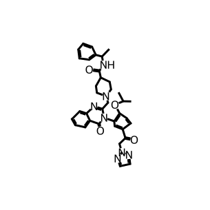 CC(C)Oc1ccc(C(=O)Cn2nccn2)cc1-n1c(CN2CCC(C(=O)NC(C)c3ccccc3)CC2)nc2ccccc2c1=O